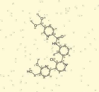 COc1nc(-c2ccnc(-c3cccc(NC(=O)c4ccc(C(OC)OC)cn4)c3C)c2Cl)ccc1CO